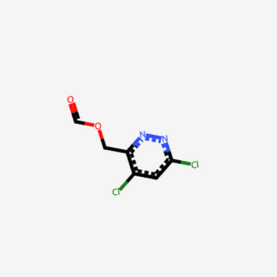 O=COCc1nnc(Cl)cc1Cl